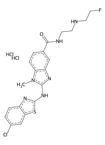 Cl.Cl.Cn1c(Nc2nc3ccc(Cl)cc3s2)nc2cc(C(=O)NCCNCCF)ccc21